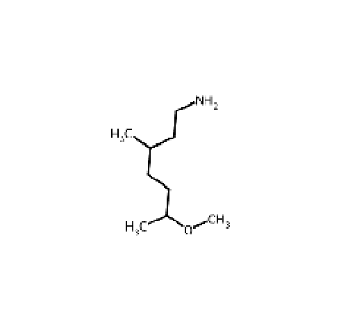 COC(C)CCC(C)CCN